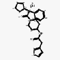 N=C(Cc1ccsc1)NC1CCN(C(=O)[C@](O)(c2ccccc2)C2CCCC2)CC1